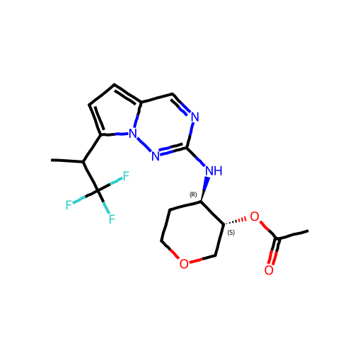 CC(=O)O[C@@H]1COCC[C@H]1Nc1ncc2ccc(C(C)C(F)(F)F)n2n1